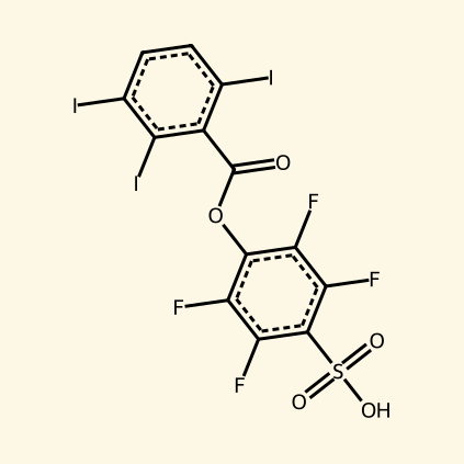 O=C(Oc1c(F)c(F)c(S(=O)(=O)O)c(F)c1F)c1c(I)ccc(I)c1I